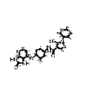 CCc1c(C(=O)Nc2ccc(Oc3ccnc4[nH]c(=O)[nH]c34)c(F)c2)cnn1-c1cncnc1